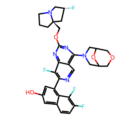 Oc1cc(-c2ncc3c(N4CC5COCC(C4)O5)nc(OC[C@@]45CCCN4C[C@H](F)C5)nc3c2F)c2c(F)c(F)ccc2c1